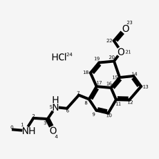 CNCC(=O)NCCc1ccc2cccc3c2c1C=CC3OC=O.Cl